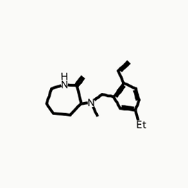 C=Cc1ccc(CC)cc1CN(C)C1CCCCNC1=C